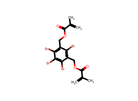 C=C(C)C(=O)OCc1c(Br)c(Br)c(Br)c(COC(=O)C(=C)C)c1Br